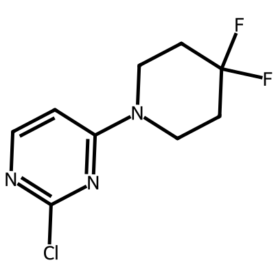 FC1(F)CCN(c2ccnc(Cl)n2)CC1